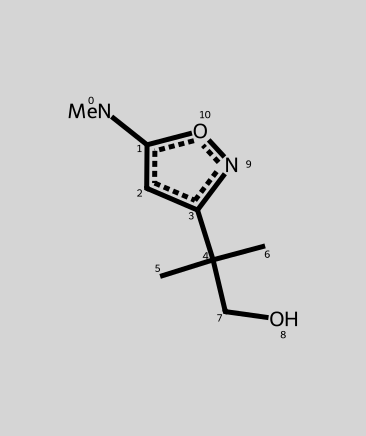 CNc1cc(C(C)(C)CO)no1